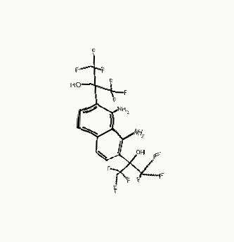 Nc1c(C(O)(C(F)(F)F)C(F)(F)F)ccc2ccc(C(O)(C(F)(F)F)C(F)(F)F)c(N)c12